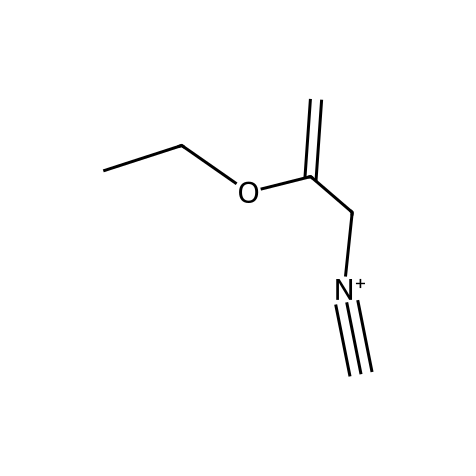 C#[N+]CC(=C)OCC